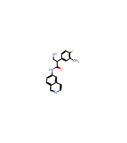 [CH2]c1cc(C(CN)C(=O)Nc2ccc3cnccc3c2)ccc1F